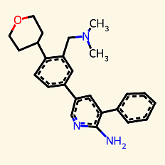 CN(C)Cc1cc(-c2cnc(N)c(-c3ccccc3)c2)ccc1C1CCOCC1